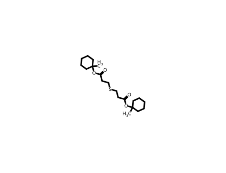 CC1(OC(=O)CCSCCC(=O)OC2(C)CCCCC2)CCCCC1